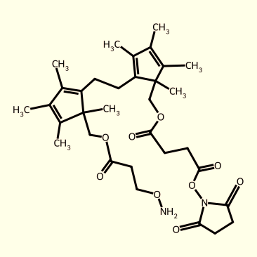 CC1=C(C)C(C)(COC(=O)CCON)C(CCC2=C(C)C(C)=C(C)C2(C)COC(=O)CCC(=O)ON2C(=O)CCC2=O)=C1C